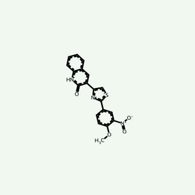 COc1ccc(-c2nc(-c3cc4ccccc4[nH]c3=O)cs2)cc1[N+](=O)[O-]